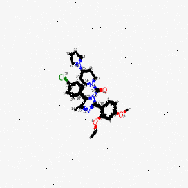 CCOc1cc(OC)ccc1C1=NC(C)C(c2ccc(Cl)cc2)N1C(=O)N1CCC(N2CCCC2)CC1